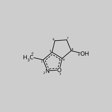 Cc1noc2c1CCC2O